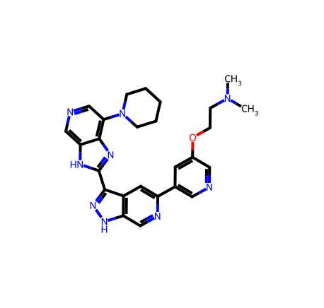 CN(C)CCOc1cncc(-c2cc3c(-c4nc5c(N6CCCCC6)cncc5[nH]4)n[nH]c3cn2)c1